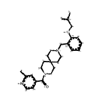 Cc1cc(C(=O)N2CCC3(CCN(Cc4ccccc4OCC(C)C)CC3)CC2)ccn1